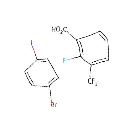 Brc1ccc(I)cc1.O=C(O)c1cccc(C(F)(F)F)c1F